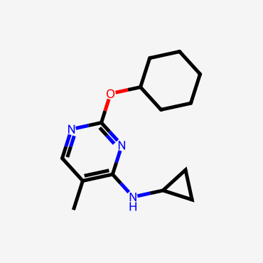 Cc1cnc(OC2CCCCC2)nc1NC1CC1